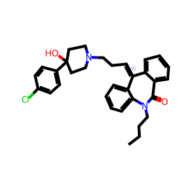 CCCCN1C(=O)c2ccccc2/C(=C/CCN2CCC(O)(c3ccc(Cl)cc3)CC2)c2ccccc21